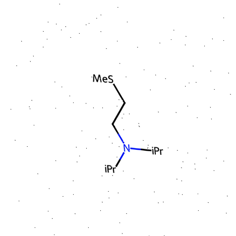 CSCCN(C(C)C)C(C)C